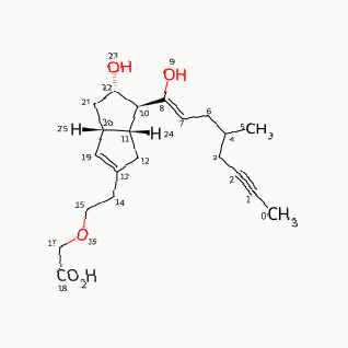 CC#CCC(C)CC=C(O)[C@H]1[C@@H]2CC(CCOCC(=O)O)=C[C@@H]2C[C@@H]1O